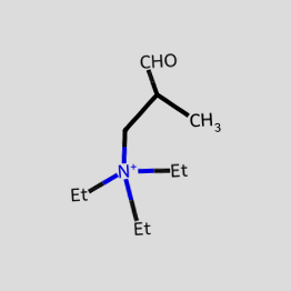 CC[N+](CC)(CC)CC(C)C=O